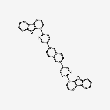 c1ccc2c(c1)oc1c(-c3ncc(-c4ccc5cc(-c6ccc(-c7cccc8c7sc7ccccc78)nc6)ccc5c4)cn3)cccc12